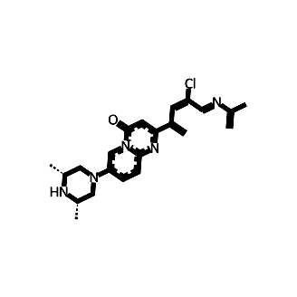 C=C(C)/N=C/C(Cl)=C\C(=C)c1cc(=O)n2cc(N3C[C@@H](C)N[C@@H](C)C3)ccc2n1